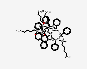 C[Si](C)(CCCCC(=O)O)O[Si]1(c2ccccc2)O[Si]2(c3ccccc3)O[Si](O[Si](C)(C)CCCCC(=O)O)(c3ccccc3)O[Si](c3ccccc3)(O1)O[Si]1(c3ccccc3)O[Si](O[Si](C)(C)CCCCC(=O)O)(c3ccccc3)O[Si](c3ccccc3)(O[Si](O[Si](C)(C)CCCCC(=O)O)(c3ccccc3)O1)O2